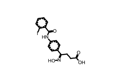 O=C(O)CC/C(=N/O)c1ccc(NC(=O)c2ccccc2I)cc1